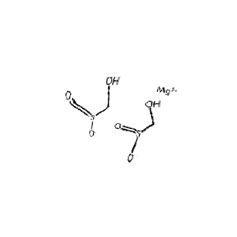 O=S([O-])CO.O=S([O-])CO.[Mg+2]